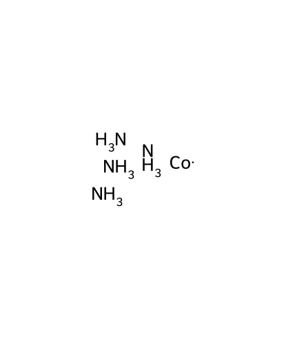 N.N.N.N.[Co]